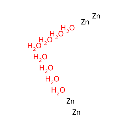 O.O.O.O.O.O.O.O.[Zn].[Zn].[Zn].[Zn]